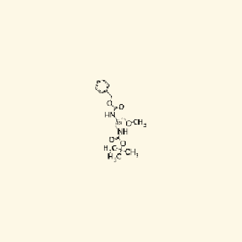 COC[C@H](CNC(=O)OC(C)(C)C)NC(=O)OCc1ccccc1